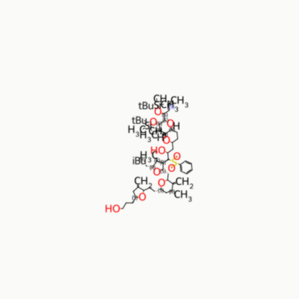 C=C1C[C@H](CCCO)OC1CC[C@H]1C[C@@H](C)C(=C)C(C[C@@H]2O[C@H](C[C@H](C)CC)[C@H](C)[C@H]2C(C(O)CC2CC[C@@H]3O[C@@H]([C@H](/C=C/C)O[Si](C)(C)C(C)(C)C)[C@@H](O[Si](C)(C)C(C)(C)C)[C@@H](C)[C@H]3O2)S(=O)(=O)c2ccccc2)O1